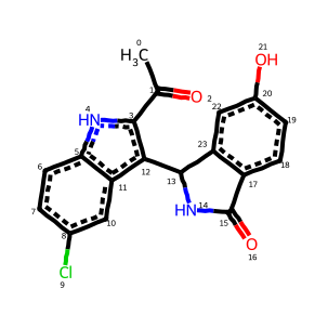 CC(=O)c1[nH]c2ccc(Cl)cc2c1C1NC(=O)c2ccc(O)cc21